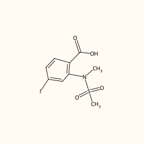 CN(c1cc(I)ccc1C(=O)O)S(C)(=O)=O